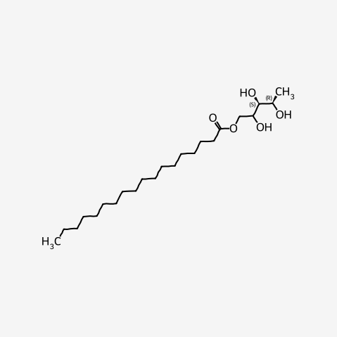 CCCCCCCCCCCCCCCCCC(=O)OCC(O)[C@@H](O)[C@@H](C)O